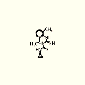 CCc1cccc(C)c1NC(=N)NC(=S)NC1CC1